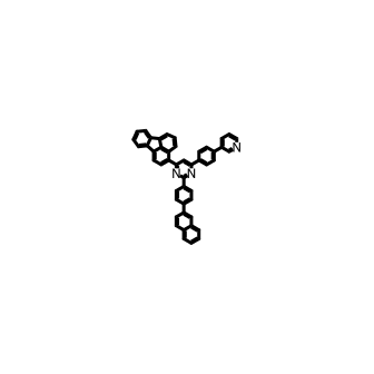 c1cncc(-c2ccc(-c3cc(-c4ccc5c6c(cccc46)-c4ccccc4-5)nc(-c4ccc(-c5ccc6ccccc6c5)cc4)n3)cc2)c1